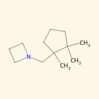 CC1(C)CCCC1(C)CN1CCC1